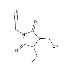 C#CCN1C(=O)C(CC)N(CO)C1=O